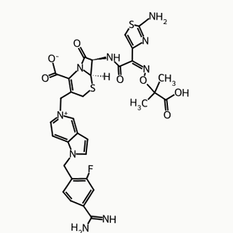 CC(C)(O/N=C(\C(=O)N[C@@H]1C(=O)N2C(C(=O)[O-])=C(C[n+]3ccc4c(ccn4Cc4ccc(C(=N)N)cc4F)c3)CS[C@H]12)c1csc(N)n1)C(=O)O